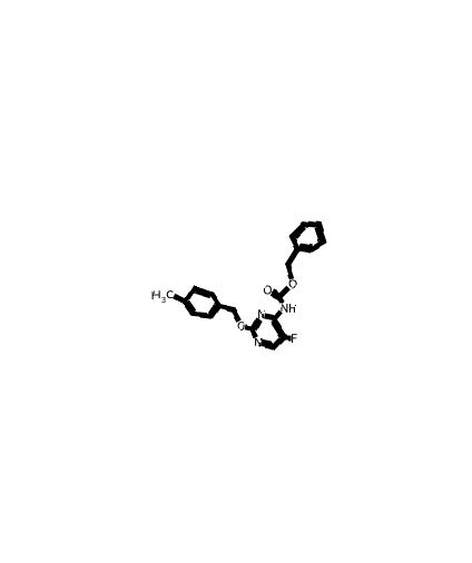 Cc1ccc(COc2ncc(F)c(NC(=O)OCc3ccccc3)n2)cc1